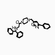 O=C(CNC(c1ccccc1)c1ccccc1)N1CCN(Cc2cc(-c3ccccc3)no2)CC1